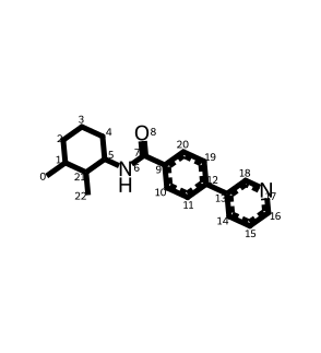 CC1CCCC(NC(=O)c2ccc(-c3cccnc3)cc2)C1C